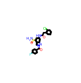 N[S+]([O-])c1cc(NC(=O)Cc2ccccc2Cl)cc2nn(C(=O)c3ccc(F)cc3)cc12